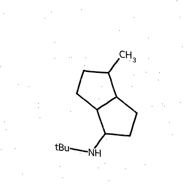 CC1CCC2C(NC(C)(C)C)CCC12